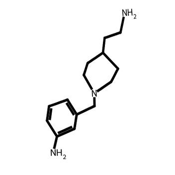 NCCC1CCN(Cc2cccc(N)c2)CC1